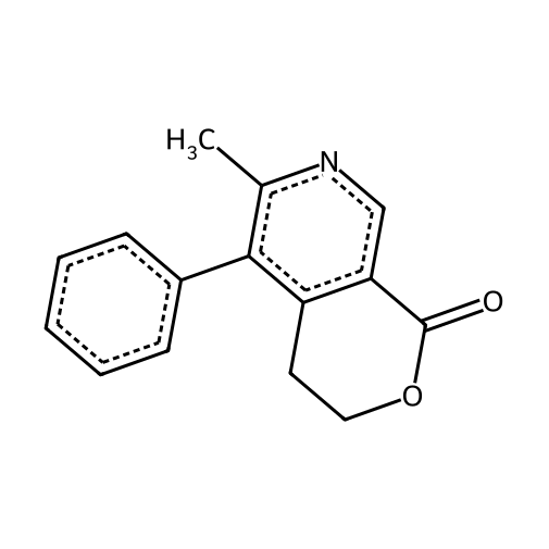 Cc1ncc2c(c1-c1ccccc1)CCOC2=O